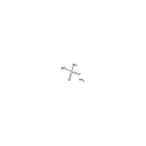 N.O=[S](=O)(O)[Mo]